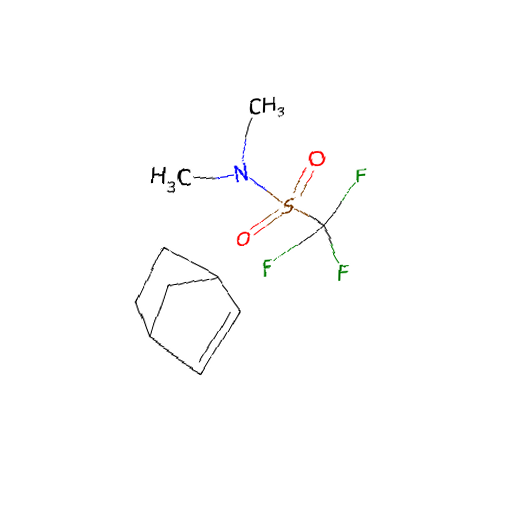 C1=CC2CCC1C2.CN(C)S(=O)(=O)C(F)(F)F